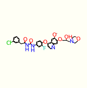 COc1cc2c(Oc3ccc(NC(=O)NC(=O)Cc4cccc(Cl)c4)cc3F)ccnc2cc1OCC(O)CN1CCOCC1